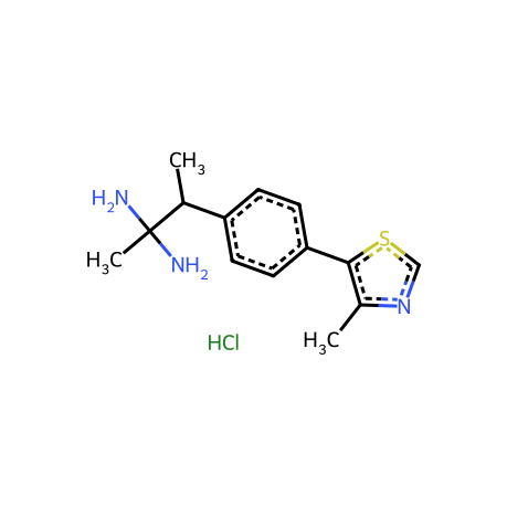 Cc1ncsc1-c1ccc(C(C)C(C)(N)N)cc1.Cl